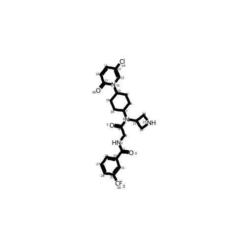 O=C(NCC(=O)N(C1CCC(n2cc(Cl)ccc2=O)CC1)C1CNC1)c1cccc(C(F)(F)F)c1